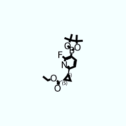 CCOC(=O)[C@H]1C[C@@H]1c1ccc(B2OC(C)(C)C(C)(C)O2)c(F)n1